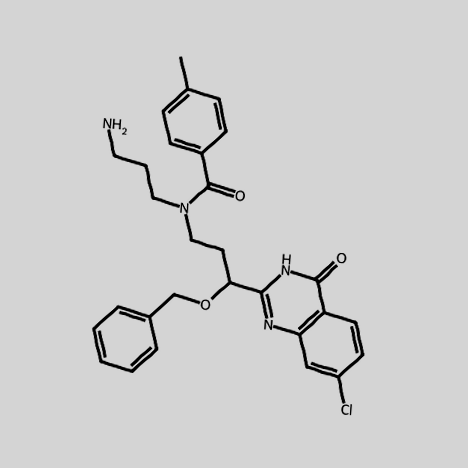 Cc1ccc(C(=O)N(CCCN)CCC(OCc2ccccc2)c2nc3cc(Cl)ccc3c(=O)[nH]2)cc1